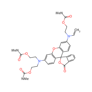 C=CN(CCOC(=O)NC)c1ccc2c(c1)Oc1cc(N(CCOC(=O)NC)CCOC(=O)NC)ccc1C21OC(=O)c2ccccc21